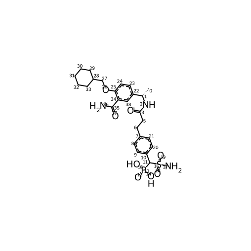 C[C@H](NC(=O)CCc1ccc(C(P(=O)(O)O)S(N)(=O)=O)cc1)c1ccc(OCC2CCCCC2)c(C(N)=O)c1